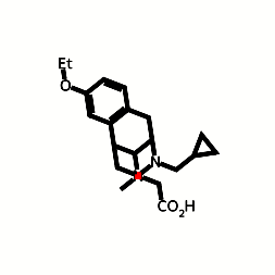 CCOc1ccc2c(c1)C1CCN(CC3CC3)C(C2)C1N(C)CC(=O)O